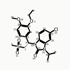 CCOc1cc([C@@H](CS(C)(=O)=O)n2c(=O)n(C(C)C)c3cc(Cl)ccc32)ccc1OC